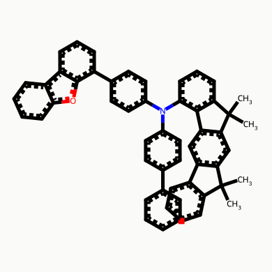 CC1(C)c2ccccc2-c2cc3c(cc21)C(C)(C)c1cccc(N(c2ccc(-c4ccccc4)cc2)c2ccc(-c4cccc5c4oc4ccccc45)cc2)c1-3